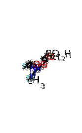 CCOC(Cc1ccc(OCCN(CCCCC(C)(F)F)C(=O)Nc2cccc(F)c2)cc1)C(=O)O